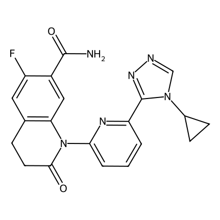 NC(=O)c1cc2c(cc1F)CCC(=O)N2c1cccc(-c2nncn2C2CC2)n1